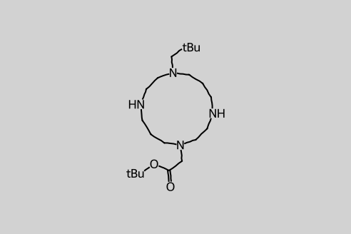 CC(C)(C)CN1CCCNCCN(CC(=O)OC(C)(C)C)CCCNCC1